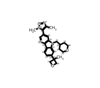 Cc1nnn(C)c1-c1cnc2c3ccc(C4(C)COC4)cc3n(CC3CCOCC3)c2c1